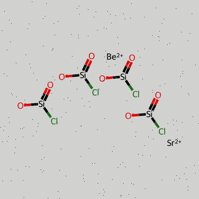 O=[Si]([O-])Cl.O=[Si]([O-])Cl.O=[Si]([O-])Cl.O=[Si]([O-])Cl.[Be+2].[Sr+2]